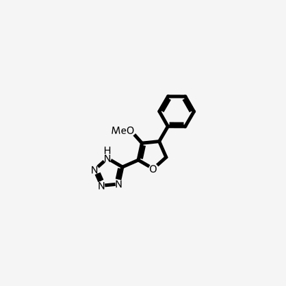 COC1=C(c2nnn[nH]2)OCC1c1ccccc1